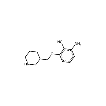 N#Cc1c(N)cccc1OCC1CCCNC1